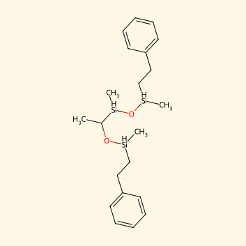 CC(O[SiH](C)CCc1ccccc1)[SiH](C)O[SiH](C)CCc1ccccc1